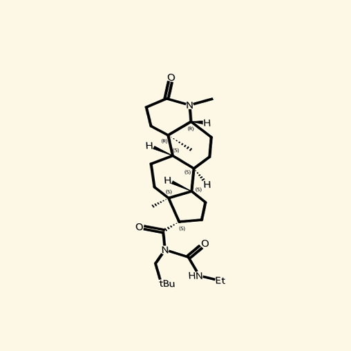 CCNC(=O)N(CC(C)(C)C)C(=O)[C@H]1CC[C@H]2[C@@H]3CC[C@H]4N(C)C(=O)CC[C@]4(C)[C@H]3CC[C@]12C